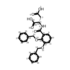 O=C(O)C[C@H](NC(=O)c1cccc(OCc2ccccc2)c1OCc1ccccc1)C(=O)O